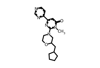 Cn1c(N2CCOC(CC3CCCC3)C2)nc(-c2ccncn2)cc1=O